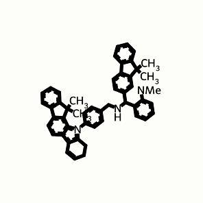 CNc1ccccc1C(NCc1ccc(-n2c3c(c4ccc5c(c42)C(C)(C)c2ccccc2-5)C=CCC3)cc1)c1ccc2c(c1)C(C)(C)c1ccccc1-2